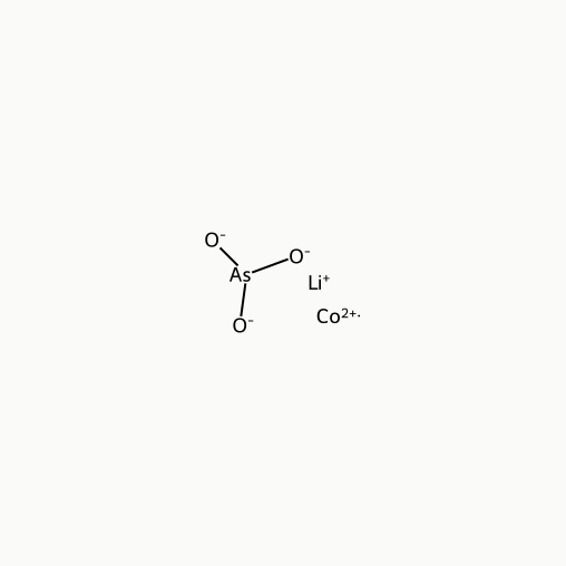 [Co+2].[Li+].[O-][As]([O-])[O-]